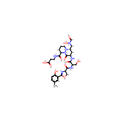 Cc1ccc(O)c(C2=NC(C(=O)NC(CO)C(=O)NC(CCCN(O)C=O)C(=O)N3NCCCC3C(=O)NCCC(=O)O)CO2)c1